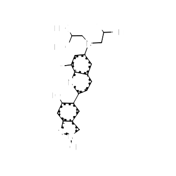 CC(C)CN(CC(C)C)c1cc(F)c2nc(-c3cc4cn(C)nc4cc3O)ccc2c1